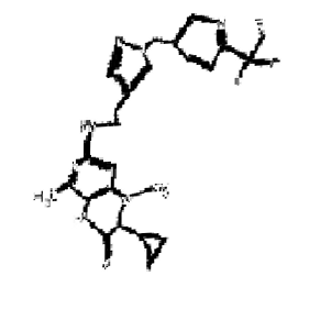 Cc1nc(NCc2cnn(Cc3ccc(C(F)(F)F)nc3)c2)cc2c1NC(=O)C(C1CC1)N2C